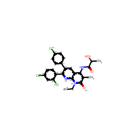 Cc1c(NC(=O)C(C)O)c2cc(-c3ccc(Cl)cc3)c(-c3ccc(Cl)cc3Cl)nc2n(CC(C)C)c1=O